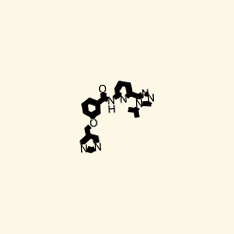 CC(C)n1cnnc1-c1cccc(NC(=O)c2cccc(OCc3cncnc3)c2)n1